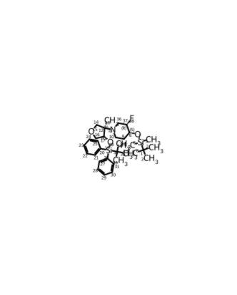 CC(C)(C)[Si](C)(C)O[C@H]1CCN([C@]2(C)COC[C@@H]2O[Si](c2ccccc2)(c2ccccc2)C(C)(C)C)C[C@H]1F